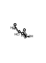 Cl.O=C(NS(=O)(=O)CCCO)c1ccc(-c2ccc(CCNC[C@@H](O)c3ccccc3)cc2)cc1OC1CCCCC1